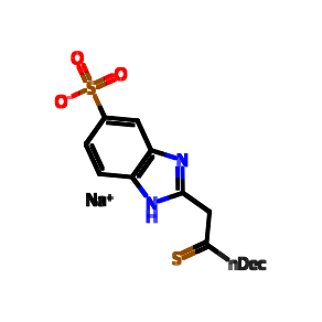 CCCCCCCCCCC(=S)Cc1nc2cc(S(=O)(=O)[O-])ccc2[nH]1.[Na+]